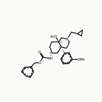 COc1cccc([C@@]23CCN(CC4CC4)C[C@@]2(OC(C)=O)CC[C@@H](NC(=O)OCc2ccccc2)C3)c1